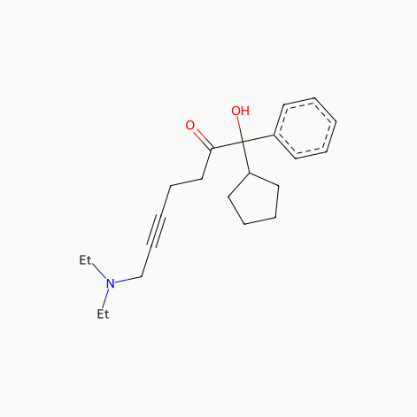 CCN(CC)CC#CCCC(=O)C(O)(c1ccccc1)C1CCCC1